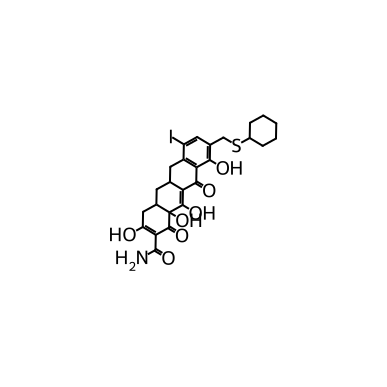 NC(=O)C1=C(O)CC2CC3Cc4c(I)cc(CSC5CCCCC5)c(O)c4C(=O)C3=C(O)C2(O)C1=O